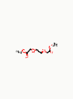 CC(C)(C)OC(=O)COCCOCC(=O)OC(C)(C)C